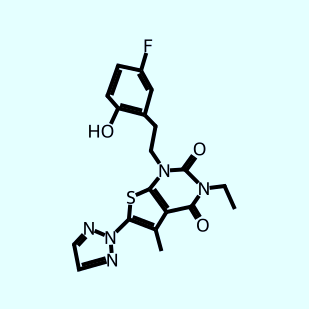 CCn1c(=O)c2c(C)c(-n3nccn3)sc2n(CCc2cc(F)ccc2O)c1=O